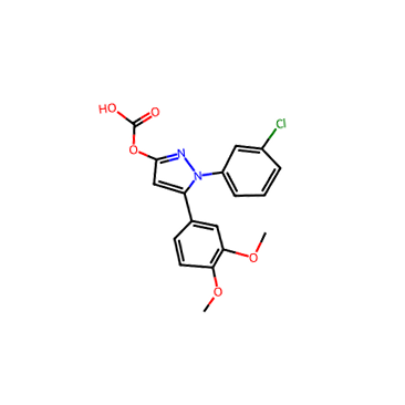 COc1ccc(-c2cc(OC(=O)O)nn2-c2cccc(Cl)c2)cc1OC